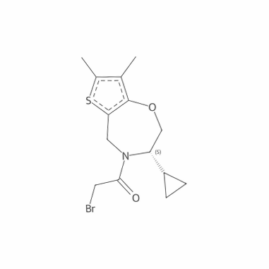 Cc1sc2c(c1C)OC[C@H](C1CC1)N(C(=O)CBr)C2